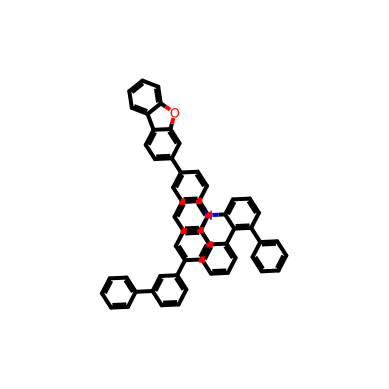 c1ccc(-c2cccc(-c3ccc(N(c4ccc(-c5ccc6c(c5)oc5ccccc56)cc4)c4cccc(-c5ccccc5)c4-c4ccccc4-c4ccccc4)cc3)c2)cc1